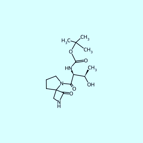 C[C@@H](O)[C@H](NC(=O)OC(C)(C)C)C(=O)N1CCCC12CNC2=O